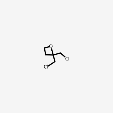 ClCC1(CCl)CCO1